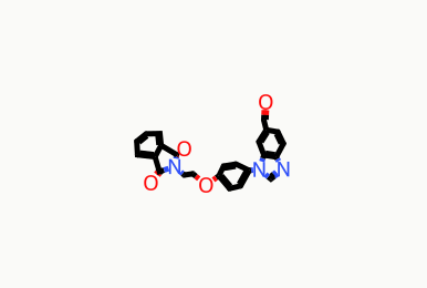 O=Cc1ccc2ncn(-c3ccc(OCCN4C(=O)c5ccccc5C4=O)cc3)c2c1